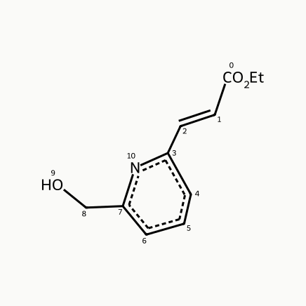 CCOC(=O)/C=C/c1cccc(CO)n1